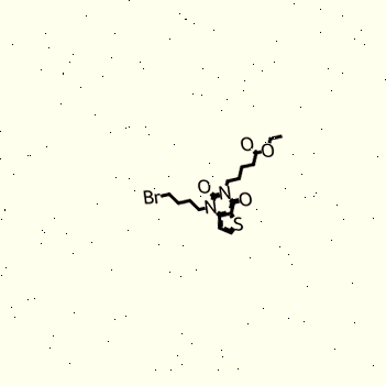 CCOC(=O)CCCCn1c(=O)c2sccc2n(CCCCBr)c1=O